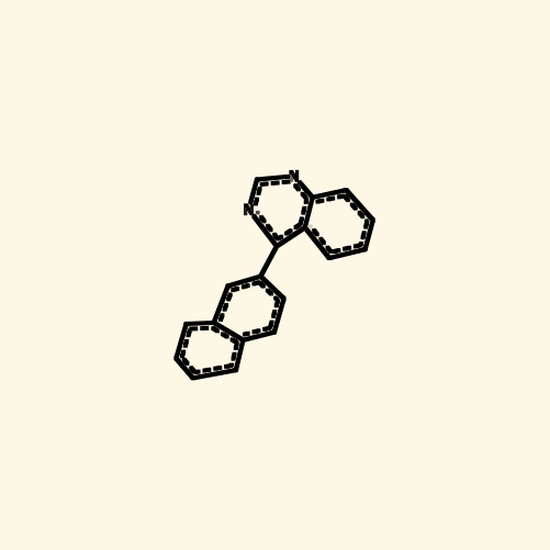 c1ccc2cc(-c3ncnc4ccccc34)ccc2c1